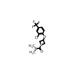 CN(C)C(=O)N1CC(Oc2ccc(C(F)(F)F)cc2Cl)C1